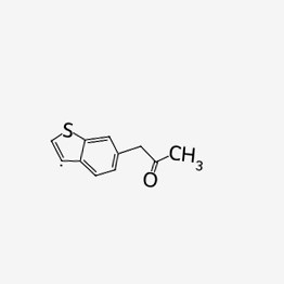 CC(=O)Cc1ccc2[c]csc2c1